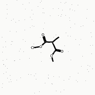 COC(=O)C(C)C(=O)OCl